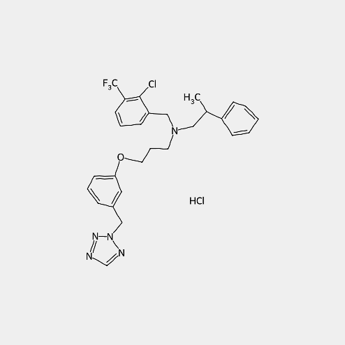 CC(CN(CCCOc1cccc(Cn2ncnn2)c1)Cc1cccc(C(F)(F)F)c1Cl)c1ccccc1.Cl